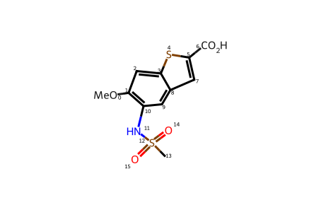 COc1cc2sc(C(=O)O)cc2cc1NS(C)(=O)=O